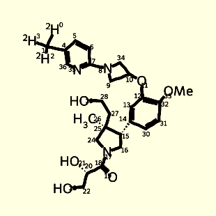 [2H]C([2H])([2H])c1ccc(N2CC(Oc3cc([C@@H]4CN(C(=O)[C@@H](O)CO)C[C@@]4(C)CCO)ccc3OC)C2)nc1